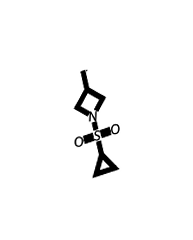 [CH2]C1CN(S(=O)(=O)C2CC2)C1